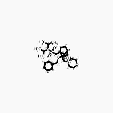 CC(C)N(C(C)C)S(=O)(=O)CC12CCC(CC1(CN1CCOCC1)SCc1ccccc1)C2(C)C